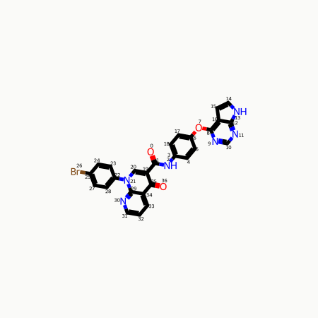 O=C(Nc1ccc(Oc2ncnc3[nH]ccc23)cc1)c1cn(-c2ccc(Br)cc2)c2ncccc2c1=O